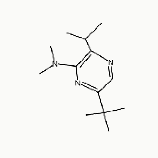 CC(C)c1ncc(C(C)(C)C)nc1N(C)C